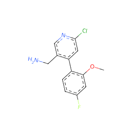 COc1cc(F)ccc1-c1cc(Cl)ncc1CN